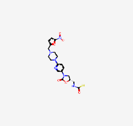 O=C(S)NC[C@H]1CN(c2ccc(N3CCN(Cc4ccc([N+](=O)[O-])o4)CC3)nc2)C(=O)O1